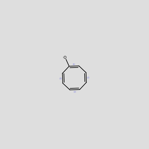 [O]C1=C/C=C\C=C/C=C\1